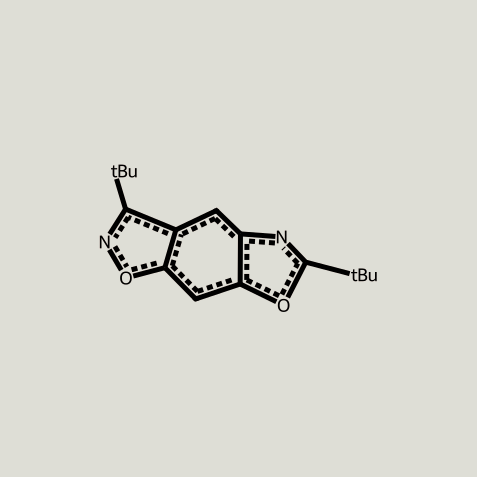 CC(C)(C)c1nc2cc3c(C(C)(C)C)noc3cc2o1